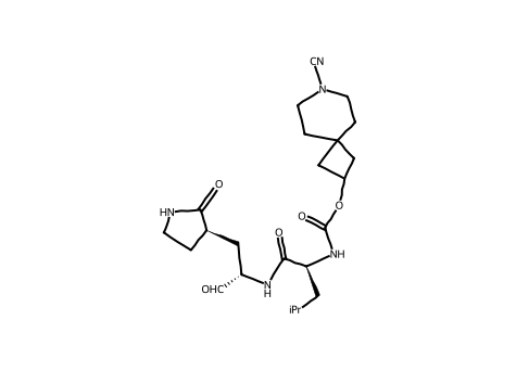 CC(C)C[C@H](NC(=O)OC1CC2(CCN(C#N)CC2)C1)C(=O)N[C@H](C=O)C[C@H]1CCNC1=O